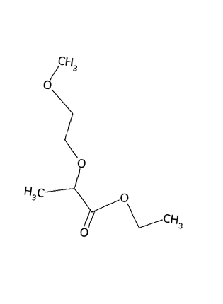 CCOC(=O)C(C)OCCOC